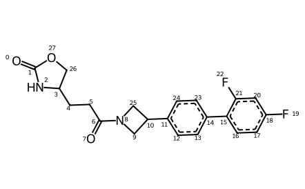 O=C1NC(CCC(=O)N2CC(c3ccc(-c4ccc(F)cc4F)cc3)C2)CO1